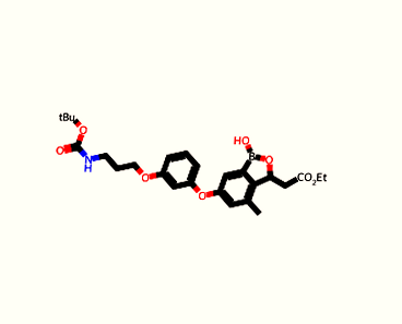 CCOC(=O)CC1OB(O)c2cc(Oc3cccc(OCCCNC(=O)OC(C)(C)C)c3)cc(C)c21